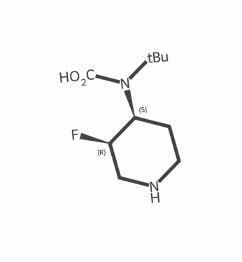 CC(C)(C)N(C(=O)O)[C@H]1CCNC[C@H]1F